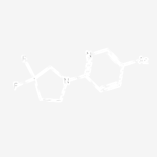 CC(=O)c1ccc(N2CCC(F)(F)C2)nc1